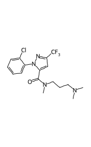 CN(C)CCCN(C)C(=O)c1cc(C(F)(F)F)nn1-c1ccccc1Cl